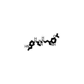 Cc1cc2cc(Nc3ccnc(NCCc4c[nH]c5ccc(OC(C)C)cc45)n3)ccc2[nH]1